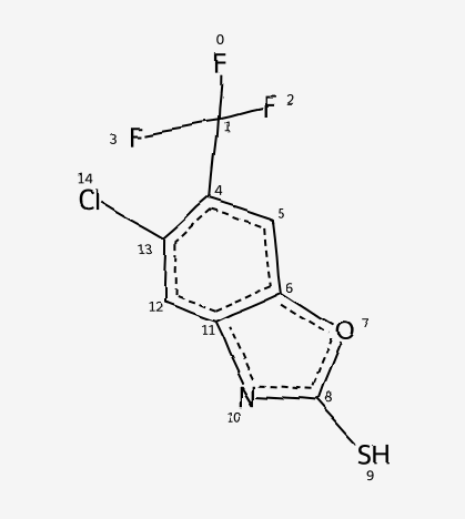 FC(F)(F)c1cc2oc(S)nc2cc1Cl